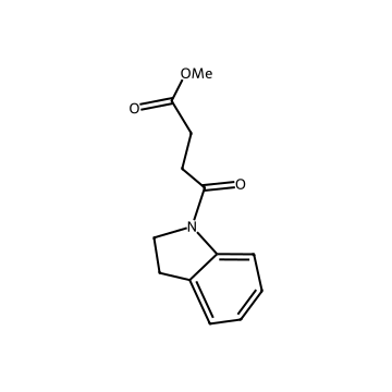 COC(=O)CCC(=O)N1CCc2ccccc21